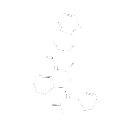 CC(=O)N(c1ccccc1)[C@@H]1C[C@H](C)N(C(=O)c2ccc3ncccc3c2)c2ccccc21